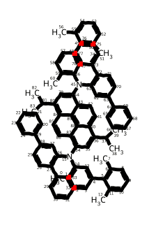 Cc1ccc(-c2c(C)cccc2C)cc1N(c1cc(-c2ccccc2)ccc1-c1ccccc1)c1cc(C(C)C)c2ccc3c(N(c4cc(-c5c(C)cccc5C)ccc4C)c4cc(-c5ccccc5)ccc4-c4ccccc4)cc(C(C)C)c4ccc1c2c43